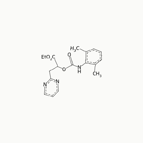 CCOC(=O)C(Cc1ncccn1)OC(=O)Nc1c(C)cccc1C